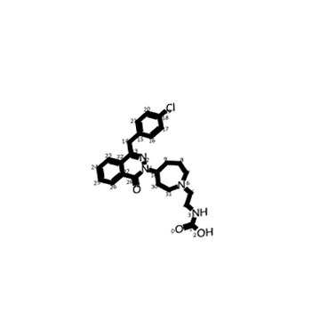 O=C(O)NCCN1CCCC(n2nc(Cc3ccc(Cl)cc3)c3ccccc3c2=O)CC1